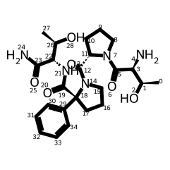 C[C@@H](O)[C@H](N)C(=O)N1CCC[C@H]1C(=O)N1CCC[C@]1(C(=O)N[C@H](C(N)=O)[C@@H](C)O)c1ccccc1